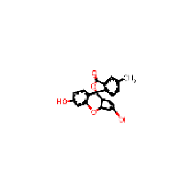 Cc1ccc2c(c1)C(=O)OC21c2ccc(O)cc2OC2C=C(O)C=CC21